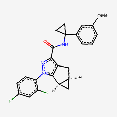 COc1cccc(C2(NC(=O)c3nn(-c4ccc(F)cc4F)c4c3C[C@H]3C[C@@H]43)CC2)c1